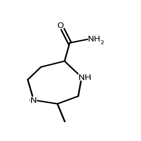 CC1CNC(C(N)=O)CC[N]1